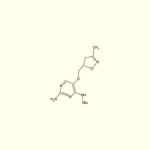 CCCCNc1nc(N)ncc1OCC1CC(C)=NO1